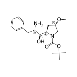 CO[C@@H]1C[C@H]([C@@H](O)[C@@H](N)Cc2ccccc2)N(C(=O)OC(C)(C)C)C1